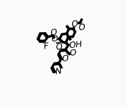 CC(=O)OC1CCC2(C)C(CC(OC(=O)c3ccccc3F)[C@@]3(C)Oc4cc(-c5cccnc5)oc(=O)c4C(O)C23)C1C